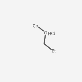 CCC[O][Co].Cl